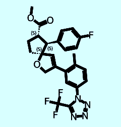 COC(=O)[C@H]1CC[C@@]2(C=C(c3cc(-n4nnnc4C(F)(F)F)ccc3C)CO2)[C@@H]1c1ccc(F)cc1